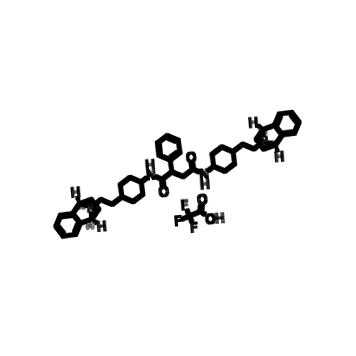 O=C(CC(C(=O)NC1CCC(CCN2[C@@H]3CC[C@H]2c2ccccc23)CC1)c1ccccc1)NC1CCC(CCN2[C@@H]3CC[C@H]2c2ccccc23)CC1.O=C(O)C(F)(F)F